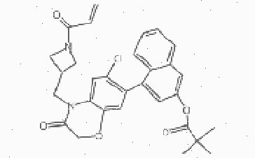 C=CC(=O)N1CC(CN2C(=O)COc3cc(-c4cc(OC(=O)C(C)(C)C)cc5ccccc45)c(Cl)cc32)C1